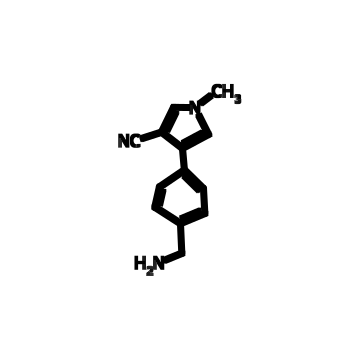 Cn1cc(C#N)c(-c2ccc(CN)cc2)c1